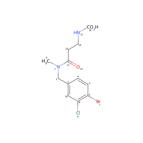 CN(Cc1ccc(Br)c(Cl)c1)C(=O)CCNC(=O)O